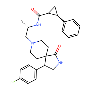 C[C@@H](CN1CCC2(CC1)C(=O)NCC2c1ccc(F)cc1)NC(=O)C1C[C@H]1c1ccccc1